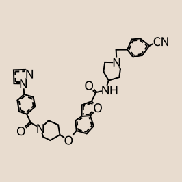 N#Cc1ccc(CN2CCC(NC(=O)c3cc4cc(OC5CCN(C(=O)c6ccc(-n7cccn7)cc6)CC5)ccc4o3)CC2)cc1